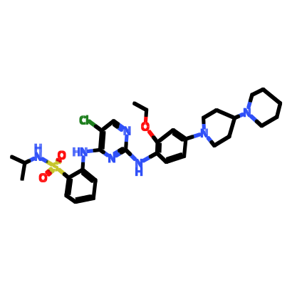 CCOc1cc(N2CCC(N3CCCCC3)CC2)ccc1Nc1ncc(Cl)c(Nc2ccccc2S(=O)(=O)NC(C)C)n1